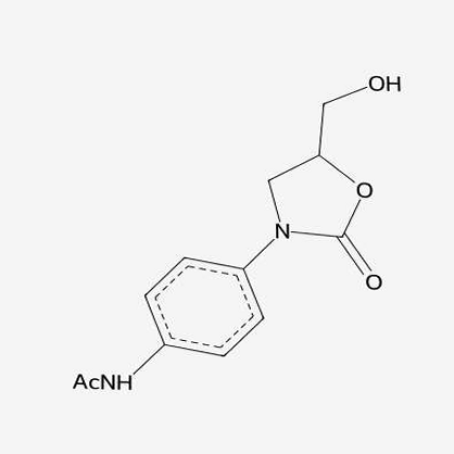 CC(=O)Nc1ccc(N2CC(CO)OC2=O)cc1